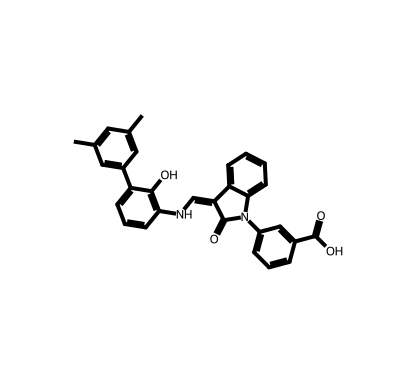 Cc1cc(C)cc(-c2cccc(NC=C3C(=O)N(c4cccc(C(=O)O)c4)c4ccccc43)c2O)c1